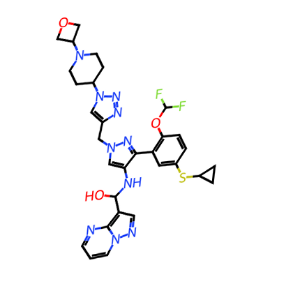 OC(Nc1cn(Cc2cn(C3CCN(C4COC4)CC3)nn2)nc1-c1cc(SC2CC2)ccc1OC(F)F)c1cnn2cccnc12